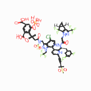 CC(C)(CC(=O)N(Cc1nn(CC(F)(F)F)c2c(-c3ccc(C#CC(C)(C)S(C)(=O)=O)nc3[C@H](Cc3cc(F)cc(F)c3)NC(=O)Cn3nc(C(F)(F)F)c4c3C(F)(F)[C@@H]3C[C@H]43)ccc(Cl)c12)[SH](=O)=O)c1c(OP(=O)(O)O)cc(C(=O)O)cc1C(=O)O